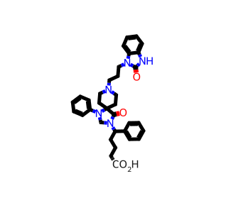 O=C(O)CCCC(c1ccccc1)N1CN(c2ccccc2)C2(CCN(CCCn3c(=O)[nH]c4ccccc43)CC2)C1=O